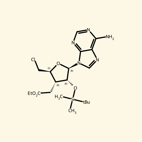 CCOC(=O)C[C@H]1[C@@H](O[Si](C)(C)C(C)(C)C)[C@H](n2cnc3c(N)ncnc32)O[C@@H]1CCl